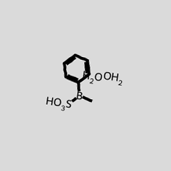 CB(c1ccccc1)S(=O)(=O)O.O.O